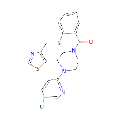 O=C(c1ccccc1SCc1cscn1)N1CCN(c2ccc(Cl)cn2)CC1